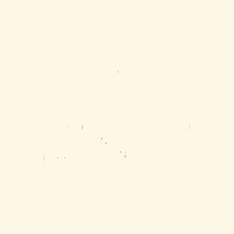 CC(C)(C)C1=C(C(=O)O)SC2=NC(c3ccc(Cl)cc3)C(c3ccc(Cl)cc3)N21